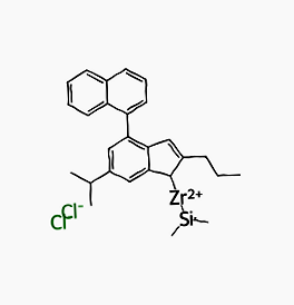 CCCC1=Cc2c(-c3cccc4ccccc34)cc(C(C)C)cc2[CH]1[Zr+2][Si](C)C.[Cl-].[Cl-]